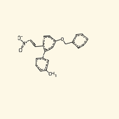 Cc1cccc(-c2cc(OCc3ccccc3)ccc2C=C[N+](=O)[O-])c1